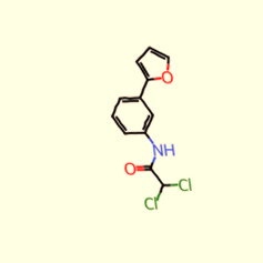 O=C(Nc1cccc(-c2ccco2)c1)C(Cl)Cl